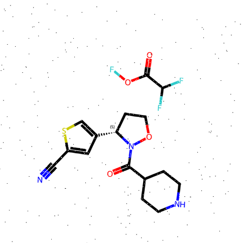 N#Cc1cc([C@@H]2CCON2C(=O)C2CCNCC2)cs1.O=C(OF)C(F)F